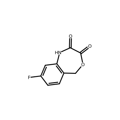 O=C1Nc2cc(F)ccc2COC1=O